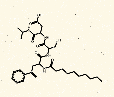 C=C(CC(NC(=O)CCCCCCCCC)C(=O)NC(CO)C(=O)NC(CC(=O)O)C(=O)NC(C)C)c1ccccc1